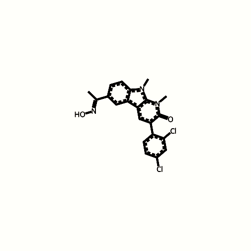 CC(=NO)c1ccc2c(c1)c1cc(-c3ccc(Cl)cc3Cl)c(=O)n(C)c1n2C